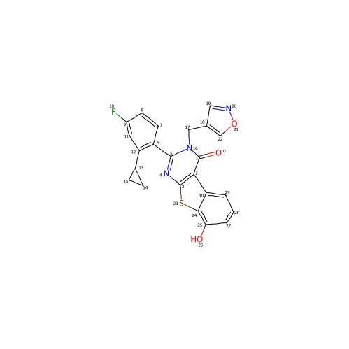 O=c1c2c(nc(-c3ccc(F)cc3C3CC3)n1Cc1cnoc1)sc1c(O)cccc12